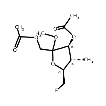 COC1(COC(C)=O)O[C@H](CF)[C@@H](C)[C@@H]1OC(C)=O